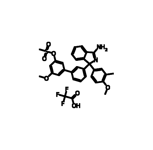 COc1cc(OS(C)(=O)=O)cc(-c2cccc(C3(c4ccc(OC)c(C)c4)N=C(N)c4ccccc43)c2)c1.O=C(O)C(F)(F)F